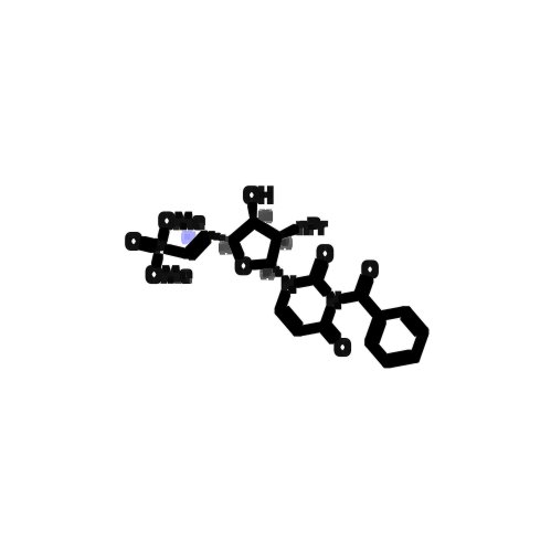 CCC[C@@H]1[C@H](O)[C@@H](/C=C/P(=O)(OC)OC)O[C@H]1n1ccc(=O)n(C(=O)c2ccccc2)c1=O